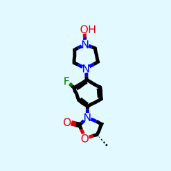 C[C@H]1CN(c2ccc(N3CCN(O)CC3)c(F)c2)C(=O)O1